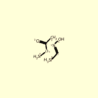 CC(=O)O[SiH3].ON=C[SiH3]